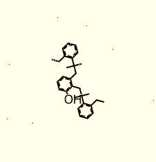 CCc1ccccc1C(C)(C)Cc1cccc(O)c1CC(C)(C)c1ccccc1CC